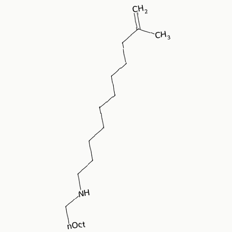 C=C(C)CCCCCCCCCNCCCCCCCCC